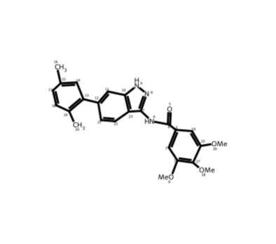 COc1cc(C(=O)Nc2n[nH]c3cc(-c4cc(C)ccc4C)ccc23)cc(OC)c1OC